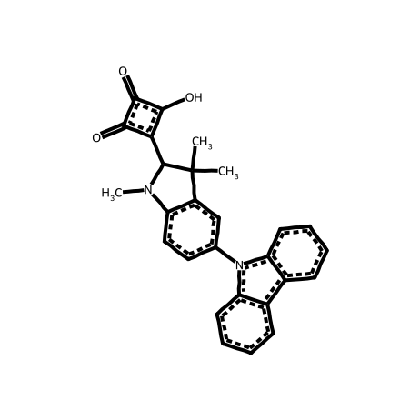 CN1c2ccc(-n3c4ccccc4c4ccccc43)cc2C(C)(C)C1c1c(O)c(=O)c1=O